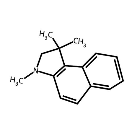 CN1CC(C)(C)c2c1ccc1ccccc21